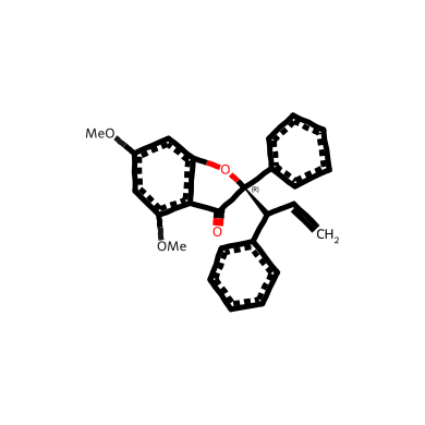 C=CC(c1ccccc1)[C@]1(c2ccccc2)Oc2cc(OC)cc(OC)c2C1=O